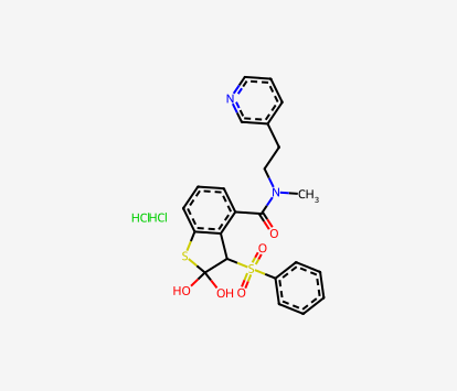 CN(CCc1cccnc1)C(=O)c1cccc2c1C(S(=O)(=O)c1ccccc1)C(O)(O)S2.Cl.Cl